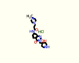 CN1CCN(CCC(=O)Nc2ccc3c(=O)n(CC4(O)CCNCC4)cnc3c2)CC1.Cl